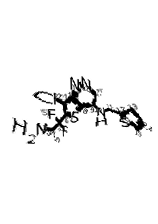 C[C@H](N)C(F)(F)c1sc2c(NCc3cccs3)cnnc2c1Cl